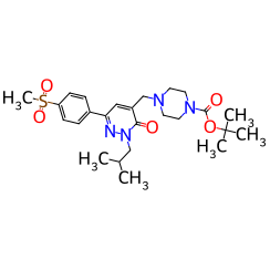 CC(C)Cn1nc(-c2ccc(S(C)(=O)=O)cc2)cc(CN2CCN(C(=O)OC(C)(C)C)CC2)c1=O